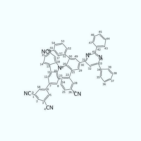 N#Cc1cc(C#N)cc(-c2ccc3c(c2)c2ccccc2n3-c2c(-c3cccc(C#N)c3)cc(-c3cc(-c4ccccc4)nc(-c4ccccc4)n3)cc2-c2cccc(C#N)c2)c1